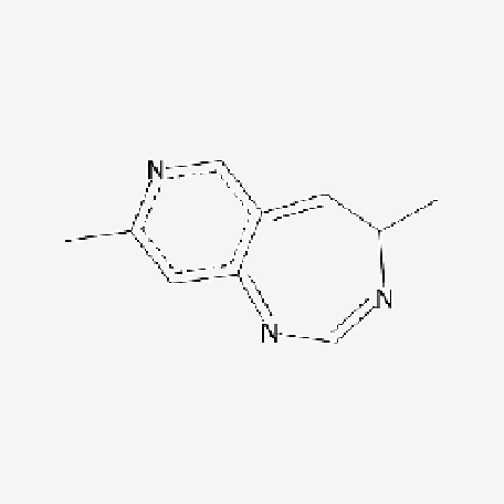 Cc1cc2c(cn1)=CC(C)N=CN=2